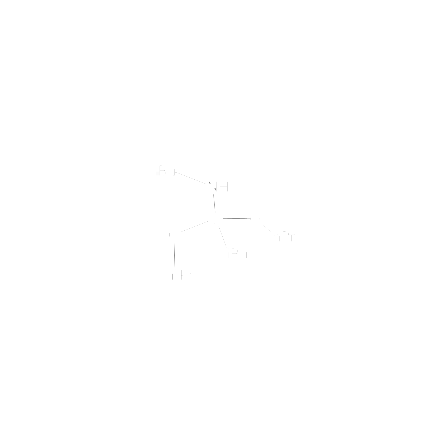 CCCCN[Si](OCCC)(OCCC)C(C)CC